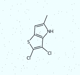 Cc1cc2sc(Cl)c(Cl)c2[nH]1